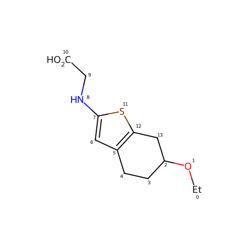 CCOC1CCc2cc(NCC(=O)O)sc2C1